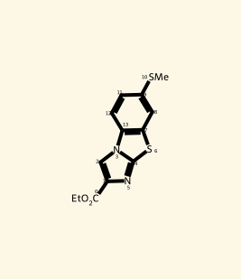 CCOC(=O)c1cn2c(n1)sc1cc(SC)ccc12